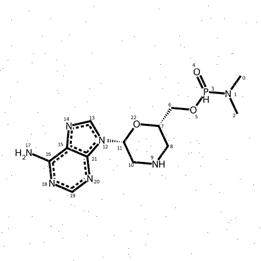 CN(C)[PH](=O)OC[C@@H]1CNC[C@H](n2cnc3c(N)ncnc32)O1